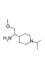 CC(C)N1CCC(C(N)COI)CC1